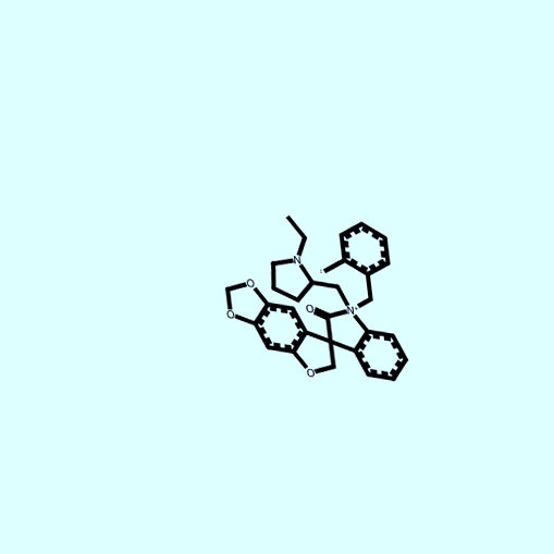 [CH]c1ccccc1C[N+]1(CC2CCCN2CC)C(=O)C2(COc3cc4c(cc32)OCO4)c2ccccc21